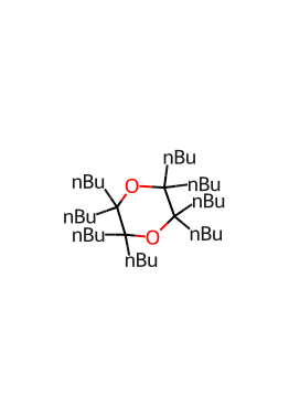 CCCCC1(CCCC)OC(CCCC)(CCCC)C(CCCC)(CCCC)OC1(CCCC)CCCC